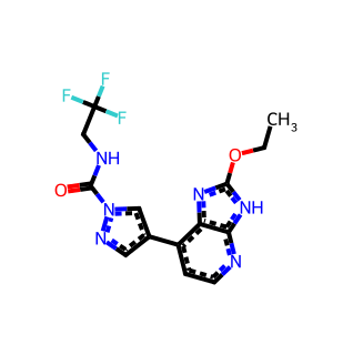 CCOc1nc2c(-c3cnn(C(=O)NCC(F)(F)F)c3)ccnc2[nH]1